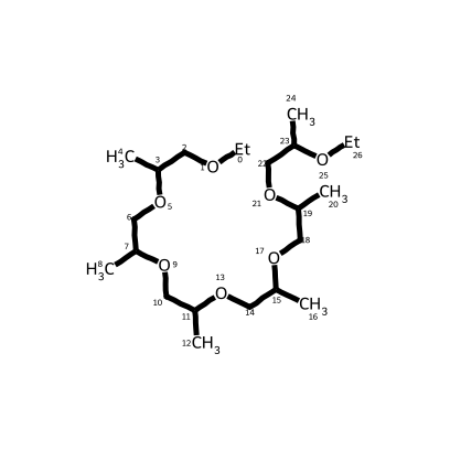 CCOCC(C)OCC(C)OCC(C)OCC(C)OCC(C)OCC(C)OCC